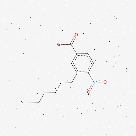 CCCCCCc1cc(C(=O)Br)ccc1[N+](=O)[O-]